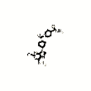 NC(=O)C1CCN(C(=O)[C@H]2CC[C@@H](n3cnc4c(N)nc(Cl)nc43)CC2)CC1